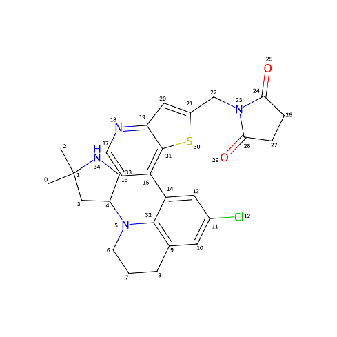 CC1(C)CC(N2CCCc3cc(Cl)cc(-c4ccnc5cc(CN6C(=O)CCC6=O)sc45)c32)CN1